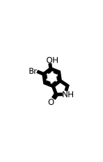 O=C1NCc2cc(O)c(Br)cc21